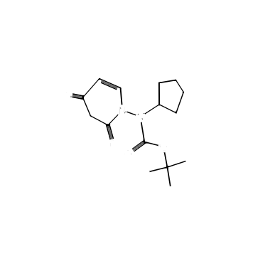 CC(C)(C)OC(=O)N(C1CCCC1)N1C=CC(=S)CC1=O